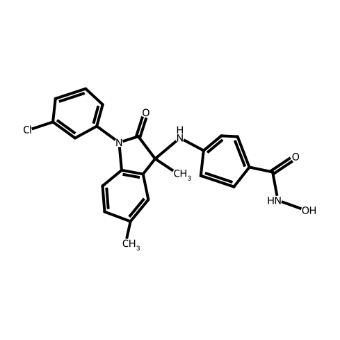 Cc1ccc2c(c1)C(C)(Nc1ccc(C(=O)NO)cc1)C(=O)N2c1cccc(Cl)c1